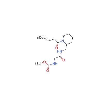 CCCCCCCCCCCCC(=O)N1CCCCC1CNC(=O)CNC(=O)OC(C)(C)C